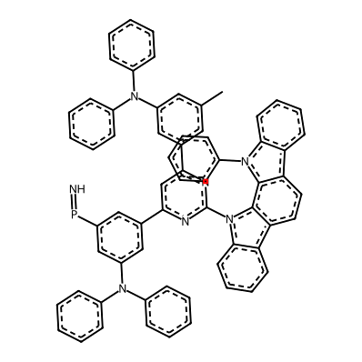 Cc1cc(-c2cc(-c3cc(P=N)cc(N(c4ccccc4)c4ccccc4)c3)nc(-n3c4ccccc4c4ccc5c6ccccc6n(-c6ccccc6)c5c43)n2)cc(N(c2ccccc2)c2ccccc2)c1